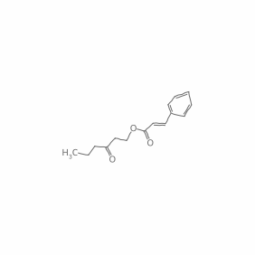 CCCC(=O)CCOC(=O)C=Cc1ccccc1